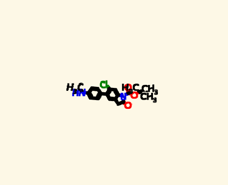 CNc1ccc(-c2cc3c(cc2Cl)N(C(=O)OC(C)(C)C)C(=O)C3)cc1